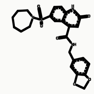 O=C(NCc1ccc2c(c1)OCO2)c1cc(=O)[nH]c2ccc(S(=O)(=O)N3CCCCCC3)cc12